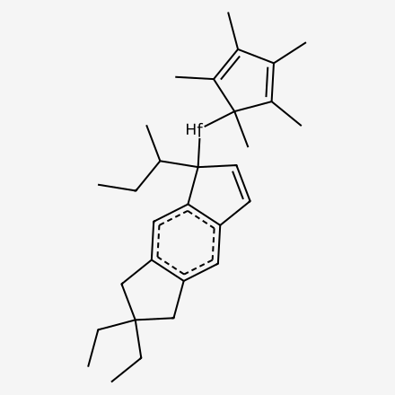 CCC(C)[C]1([Hf][C]2(C)C(C)=C(C)C(C)=C2C)C=Cc2cc3c(cc21)CC(CC)(CC)C3